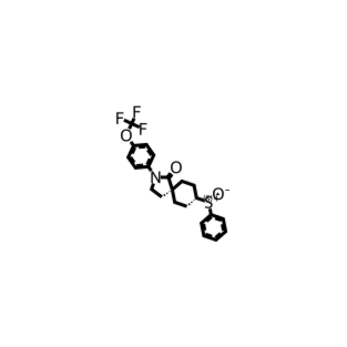 O=C1N(c2ccc(OC(F)(F)F)cc2)CC[C@]12CC[C@@H]([S@@+]([O-])c1ccccc1)CC2